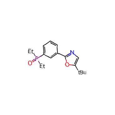 CCP(=O)(CC)c1cccc(-c2ncc(C(C)(C)C)o2)c1